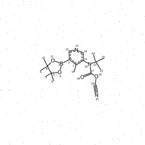 Cc1c(B2OC(C)(C)C(C)(C)O2)cncc1N(C(=O)OC#N)C(C)(C)C